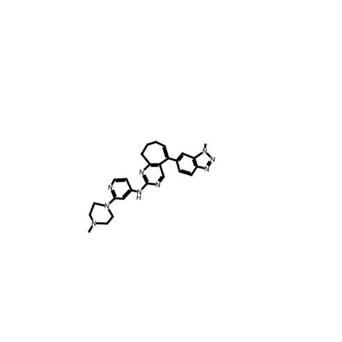 CN1CCN(c2cc(Nc3ncc4c(n3)CCCC=C4c3ccc4nnn(C)c4c3)ccn2)CC1